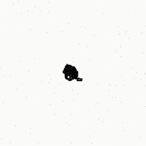 [CH]12[CH]3[CH]4[CH]5[CH]1[Fe]23451678[CH]2[CH]1[CH]6[CH]7[CH]28.[Cu]